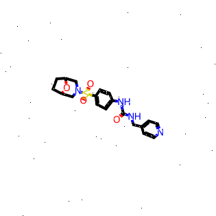 O=C(NCc1ccncc1)Nc1ccc(S(=O)(=O)N2CC3CCC(C2)O3)cc1